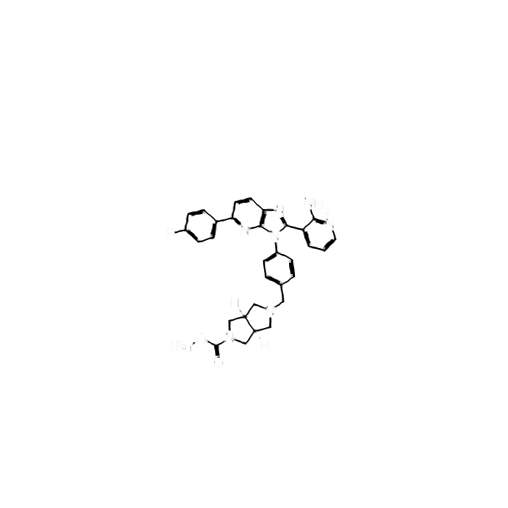 CC(C)(C)OC(=O)N1C[C@@H]2CN(Cc3ccc(-n4c(-c5cccnc5N)nc5ccc(-c6ccc(F)cc6)nc54)cc3)C[C@H]2C1